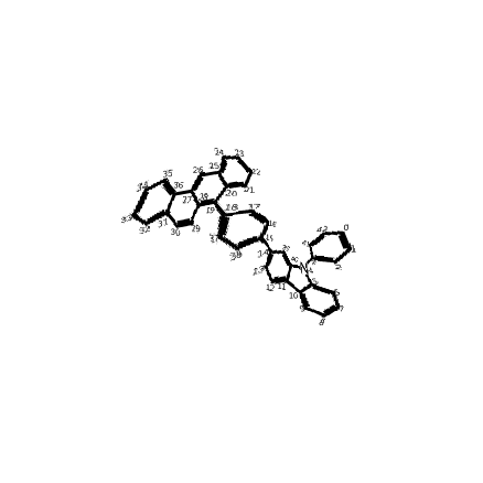 c1ccc(-n2c3ccccc3c3ccc(-c4ccc(-c5c6ccccc6cc6c5ccc5ccccc56)cc4)cc32)cc1